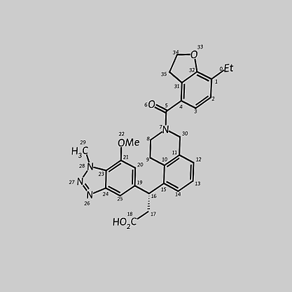 CCc1ccc(C(=O)N2CCc3c(cccc3[C@H](CC(=O)O)c3cc(OC)c4c(c3)nnn4C)C2)c2c1OCC2